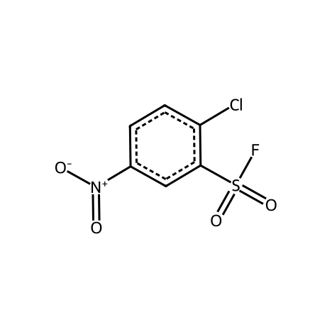 O=[N+]([O-])c1ccc(Cl)c(S(=O)(=O)F)c1